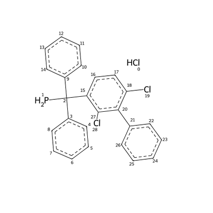 Cl.PC(c1ccccc1)(c1ccccc1)c1ccc(Cl)c(-c2ccccc2)c1Cl